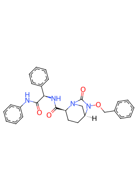 O=C(Nc1ccccc1)[C@H](NC(=O)[C@@H]1CC[C@H]2CN1C(=O)N2OCc1ccccc1)c1ccccc1